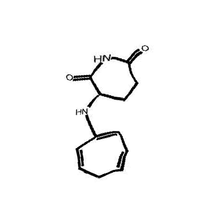 O=C1CC[C@@H](NC2=CC=CCC=C2)C(=O)N1